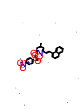 Cc1cc(C=Cc2cccc3ccccc23)n(OS(=O)(=O)c2ccc([N+](=O)[O-])cc2)c(=O)c1